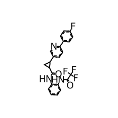 O=C(Nc1ccccc1NC(=O)C(F)(F)F)C1CC1c1ccc(-c2ccc(F)cc2)nc1